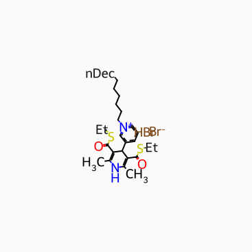 Br.CCCCCCCCCCCCCCCC[n+]1cccc(C2C(C(=O)SCC)=C(C)NC(C)=C2C(=O)SCC)c1.[Br-]